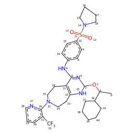 CC(OC1N=C(Nc2ccc(S(=O)(=O)N3CCCC3)cc2)C2=C(CCN(c3ncccc3C(F)(F)F)CC2)N1)C1CCCCC1